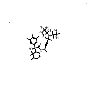 [2H]C(C)(C#CC(C)OC(=O)C(O)(c1cc(C)c(C)c(C)c1)C1CCCC(C)C1(C)C)N(C([2H])([2H])C([2H])([2H])[2H])C(C)(C)C([2H])([2H])C